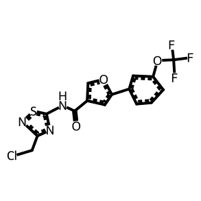 O=C(Nc1nc(CCl)ns1)c1coc(-c2cccc(OC(F)(F)F)c2)c1